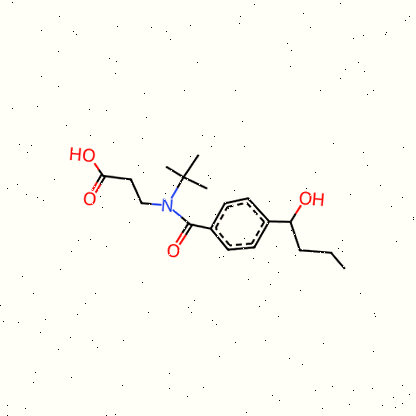 CCCC(O)c1ccc(C(=O)N(CCC(=O)O)C(C)(C)C)cc1